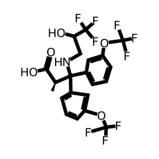 C[C@@H](C(=O)O)C(NCC(O)C(F)(F)F)(c1cccc(OC(F)(F)F)c1)c1cccc(OC(F)(F)F)c1